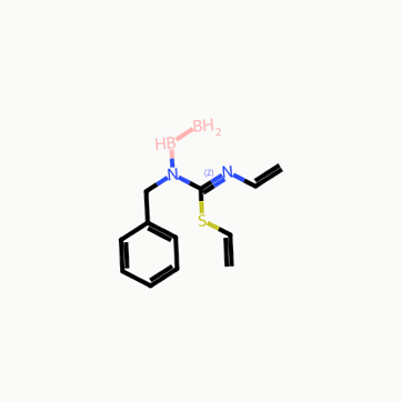 BBN(Cc1ccccc1)/C(=N/C=C)SC=C